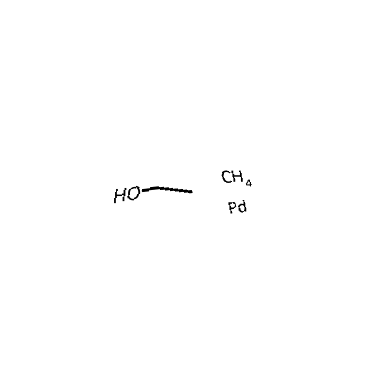 C.CO.[Pd]